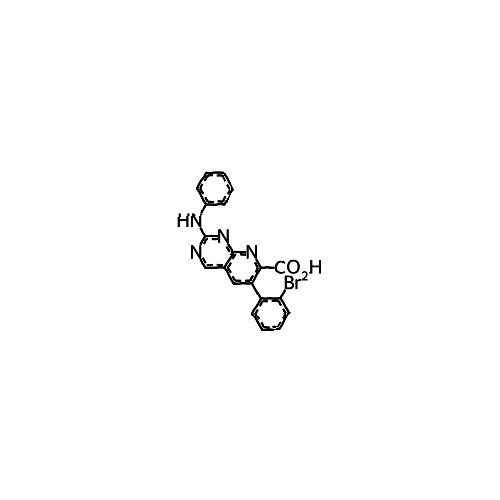 O=C(O)c1nc2nc(Nc3ccccc3)ncc2cc1-c1ccccc1Br